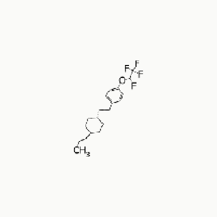 CCC[C@H]1CC[C@H](CCc2ccc(OC(F)C(F)(F)F)cc2)CC1